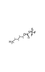 CCCCCOC(=S)SC(F)(F)F